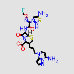 NC1=CN(C(=NOCF)C(=O)N[C@@H]2C(=O)N3C(C(=O)[O-])=C(/C=C/C[n+]4ccc(N)n5nccc54)CS[C@@H]23)NS1